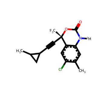 [2H]N1C(=O)O[C@](C#CC2CC2C)(C(F)(F)F)c2cc(Cl)c(C)cc21